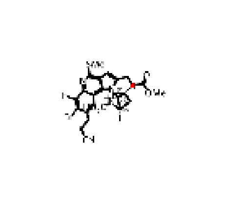 COC(=O)CCc1cc2c(SC)nc3c(F)c(Br)c(CCC#N)cc3c2n1[C@H]1[C@@H]2C[C@H]1N(C(=O)O)C2